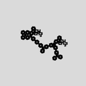 CC1(C)c2ccccc2-c2ccc(N(c3ccc(-c4ccc(-c5ccc(N(c6ccccc6)c6ccc(-c7ccc8c(c7)c7cc(-c9ccc(N(c%10ccccc%10)c%10ccccc%10)cc9)ccc7n8-c7ccc8c(c7)C(C)(C)c7ccccc7-8)cc6)cc5)cc4)cc3)c3cccc4c3-c3ccccc3C43c4ccccc4-c4ccccc43)cc21